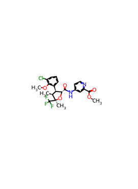 COC(=O)c1cc(NC(=O)[C@@H]2O[C@@](C)(C(F)(F)F)[C@@H](C)[C@H]2c2cccc(Cl)c2OC)ccn1